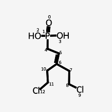 O=P(O)(O)CC=C(CCCl)CCCl